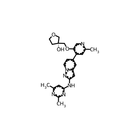 Cc1cc(-c2ccn3nc(Nc4cc(C)nc(C)n4)cc3c2)c(OC[C@@]2(O)CCOC2)cn1